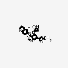 Cn1cc(-c2cc(OC3CCC3O)c3c(Nc4ccc5ncccc5c4F)ncnc3c2)cn1